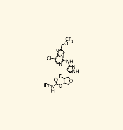 CC(C)NC(=O)O[C@H]1CO[C@@H](c2cc(Nc3ncc(Cl)c4nc(COC(F)(F)F)cn34)n[nH]2)[C@@H]1F